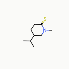 CC(C)C1CCC(=S)N(C)C1